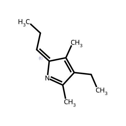 CC/C=C1/N=C(C)C(CC)=C1C